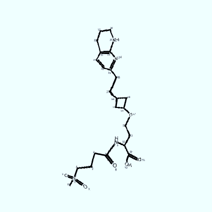 CS(=O)(=O)CCCC(=O)NC(CCOC1CC(CCc2ccc3c(n2)NCCC3)C1)C(=O)O